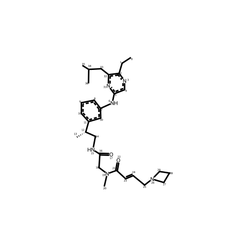 CCc1ncc(Nc2cccc([C@@H](C)CNC(=O)CN(C)C(=O)/C=C/CN3CCC3)c2)nc1CC(C)C